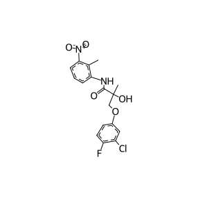 Cc1c(NC(=O)C(C)(O)COc2ccc(F)c(Cl)c2)cccc1[N+](=O)[O-]